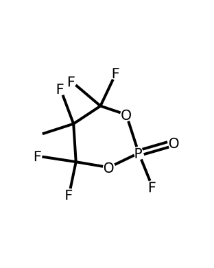 CC1(F)C(F)(F)OP(=O)(F)OC1(F)F